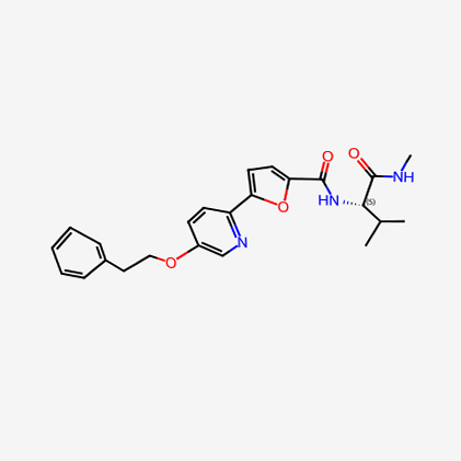 CNC(=O)[C@@H](NC(=O)c1ccc(-c2ccc(OCCc3ccccc3)cn2)o1)C(C)C